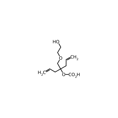 C=CCC(CC=C)(COCCO)OC(=O)O